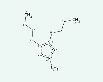 CCCCc1c[n+](C)cn1CCCC